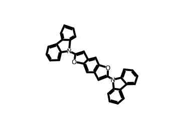 c1ccc2c(c1)c1ccccc1n2-c1cc2cc3oc(-n4c5ccccc5c5ccccc54)cc3cc2o1